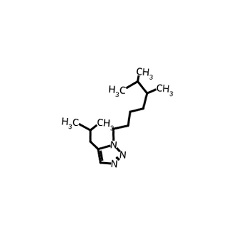 CC(C)Cc1cnnn1CCCCC(C)C(C)C